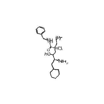 CC(C)CC(CC(O)[C@@H](N)CC1CCCCC1)C(=O)NCc1ccccc1.Cl